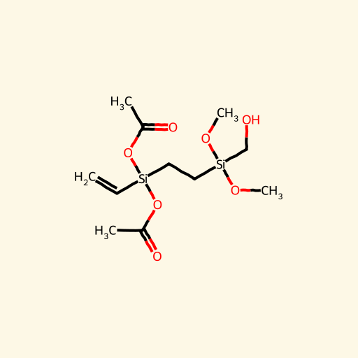 C=C[Si](CC[Si](CO)(OC)OC)(OC(C)=O)OC(C)=O